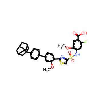 COc1cc(C(=O)O)c(F)cc1NS(=O)(=O)c1csc(-c2ccc(-c3ccc(C45CC6CC(CC(C6)C4)C5)cc3)cc2OC)n1